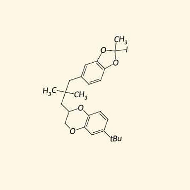 CC(C)(Cc1ccc2c(c1)OC(C)(I)O2)CC1COc2cc(C(C)(C)C)ccc2O1